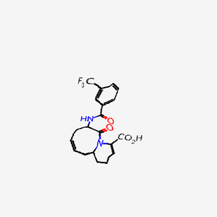 O=C(NC1CC=CCC2CCCC(C(=O)O)N2C1=O)c1cccc(C(F)(F)F)c1